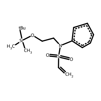 C=CS(=O)(=O)N(CCO[Si](C)(C)C(C)(C)C)c1ccccc1